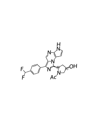 CC(=O)N1C[C@H](O)C[C@@H]1c1nc(-c2ccc(C(F)F)cc2)c2cnc3[nH]ccc3n12